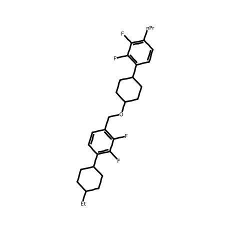 CCCc1ccc(C2CCC(OCc3ccc(C4CCC(CC)CC4)c(F)c3F)CC2)c(F)c1F